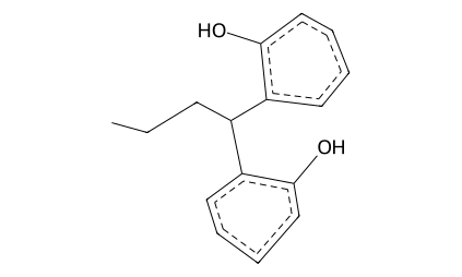 CCCC(c1ccccc1O)c1ccccc1O